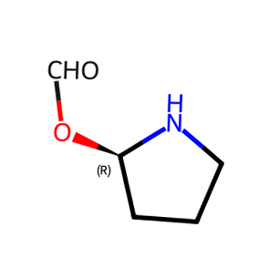 O=CO[C@@H]1CCCN1